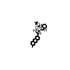 Cc1ccc2cc3cc(-c4c[nH]c([C@@H]5C[C@@H]6CCCC[C@@H]6N5C(=O)OC(C)(C)C)n4)ccc3cc2c1